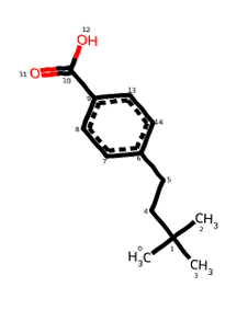 CC(C)(C)CCc1ccc(C(=O)O)cc1